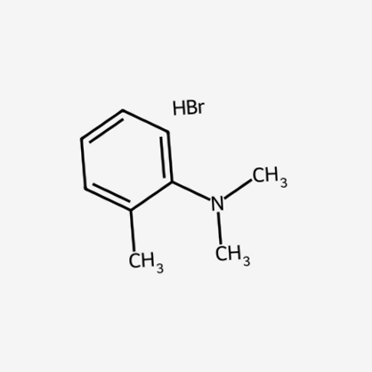 Br.Cc1ccccc1N(C)C